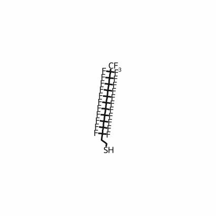 FC(F)(F)C(F)(F)C(F)(F)C(F)(F)C(F)(F)C(F)(F)C(F)(F)C(F)(F)C(F)(F)C(F)(F)C(F)(F)C(F)(F)CCS